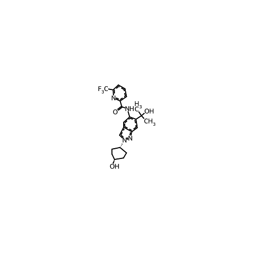 CC(C)(O)c1cc2nn([C@H]3CC[C@H](O)CC3)cc2cc1NC(=O)c1cccc(C(F)(F)F)n1